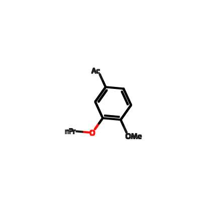 CCCOc1cc(C(C)=O)ccc1OC